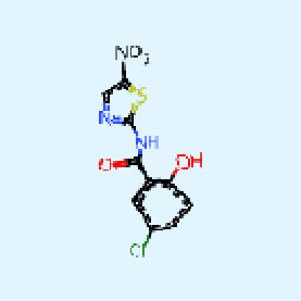 O=C(Nc1ncc([N+](=O)[O-])s1)c1cc(Cl)ccc1O